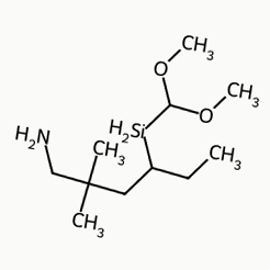 CCC(CC(C)(C)CN)[SiH2]C(OC)OC